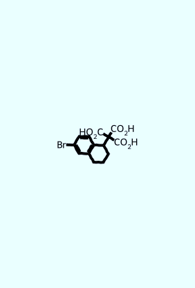 O=C(O)C(C(=O)O)(C(=O)O)C1CCCc2cc(Br)ccc21